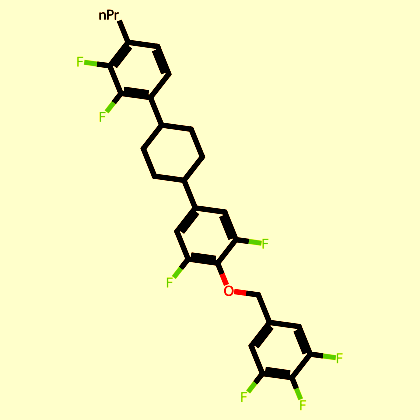 CCCc1ccc(C2CCC(c3cc(F)c(OCc4cc(F)c(F)c(F)c4)c(F)c3)CC2)c(F)c1F